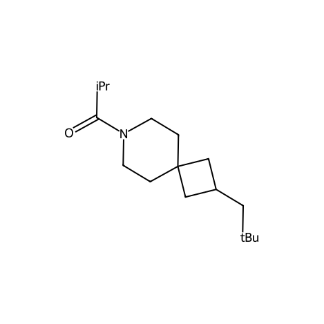 CC(C)C(=O)N1CCC2(CC1)CC(CC(C)(C)C)C2